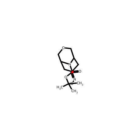 CC(C)(C)OC(=O)N1C2COCC1CC(=NO)C2